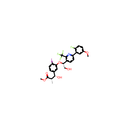 COC(=O)[C@@H](C)[C@@H](O)c1ccc(I)c(O[C@@H](CO)c2ccc(-c3cc(OC)ccc3F)nc2C(F)(F)F)c1